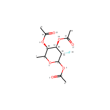 CC(=O)OC1OC(C)[C@@H](OC(C)=O)[C@@H](OC(C)=O)[C@@H]1F